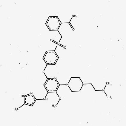 COc1c(Nc2cc(C)[nH]n2)nc(Sc2ccc(S(=O)(=O)Cc3ccccc3C(N)=O)cc2)nc1N1CCN(CCN(C)C)CC1